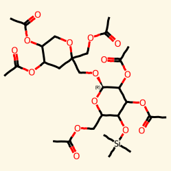 CC(=O)OCC1O[C@@H](OCC2(COC(C)=O)CC(OC(C)=O)C(OC(C)=O)CO2)C(OC(C)=O)C(OC(C)=O)C1O[Si](C)(C)C